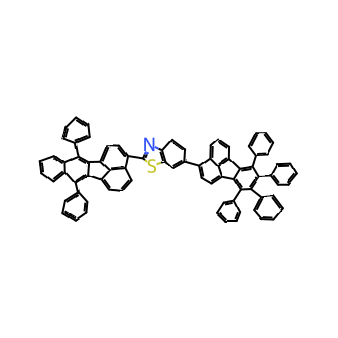 c1ccc(-c2c(-c3ccccc3)c(-c3ccccc3)c3c(c2-c2ccccc2)-c2cccc4c(-c5ccc6nc(-c7ccc8c9c(cccc79)-c7c-8c(-c8ccccc8)c8ccccc8c7-c7ccccc7)sc6c5)ccc-3c24)cc1